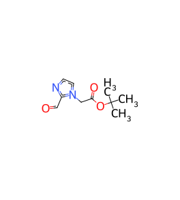 CC(C)(C)OC(=O)Cn1ccnc1C=O